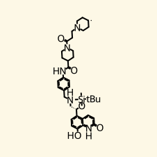 CC(C)(C)[Si](C)(C)O[C@@H](CNCc1ccc(NC(=O)C2CCN(C(=O)CCN3CC[CH]CC3)CC2)cc1)c1ccc(O)c2[nH]c(=O)ccc12